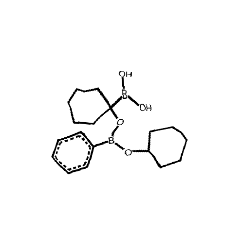 OB(O)C1(OB(OC2CCCCC2)c2ccccc2)CCCCC1